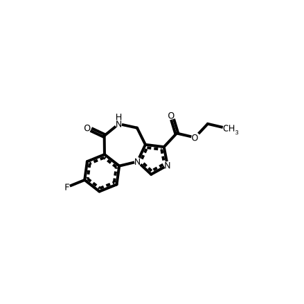 CCOC(=O)c1ncn2c1CNC(=O)c1cc(F)ccc1-2